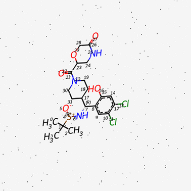 CC(C)(C)[S@+]([O-])N[C@@H](c1cc(Cl)c(Cl)cc1O)C1CCN(C(=O)C2CNC(=O)CO2)CC1